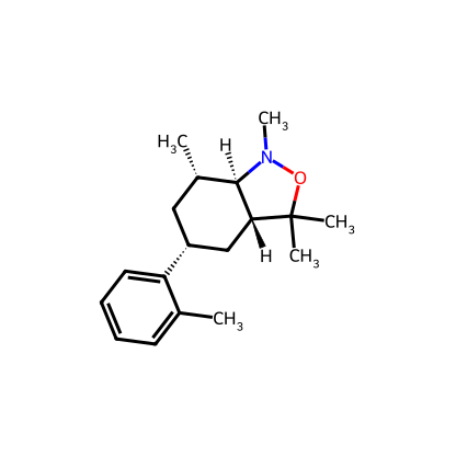 Cc1ccccc1[C@H]1C[C@@H]2[C@@H]([C@@H](C)C1)N(C)OC2(C)C